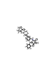 CC(C)(C)N(CC1CCCN(c2nccc(/C=C3/C(=O)NC(=O)N3Cc3ccccc3)n2)C1)C(=O)O